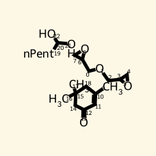 C(OCC1CO1)C1CO1.CC1=CC(=O)CC(C)(C)C1.CCCCCC(O)O